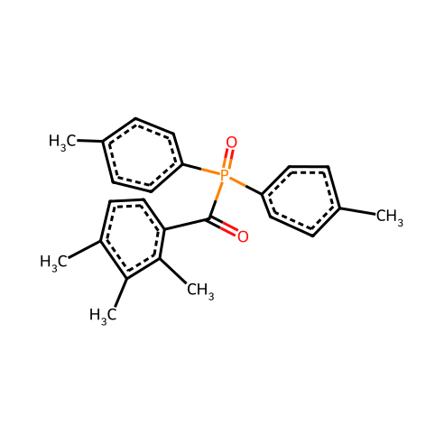 Cc1ccc(P(=O)(C(=O)c2ccc(C)c(C)c2C)c2ccc(C)cc2)cc1